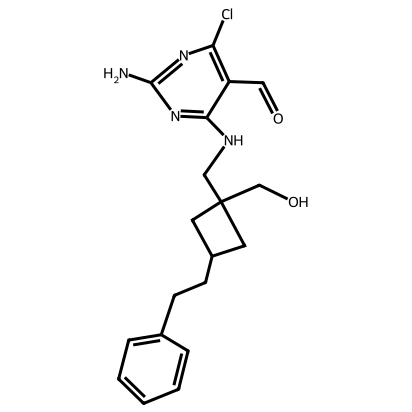 Nc1nc(Cl)c(C=O)c(NCC2(CO)CC(CCc3ccccc3)C2)n1